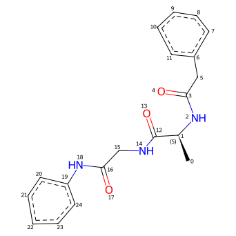 C[C@H](NC(=O)Cc1ccccc1)C(=O)NCC(=O)Nc1ccccc1